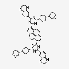 c1cncc(-c2ccc(-c3nc(-c4ccc5nccnc5c4)nc(-c4ccc5ccc6c(-c7nc(-c8ccc(-c9cccnc9)cc8)nc(-c8ccc9nccnc9c8)n7)ccc7ccc4c5c76)n3)cc2)c1